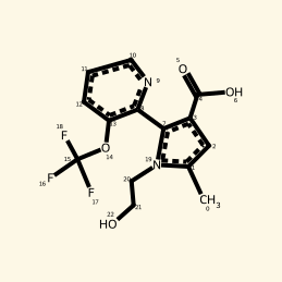 Cc1cc(C(=O)O)c(-c2ncccc2OC(F)(F)F)n1CCO